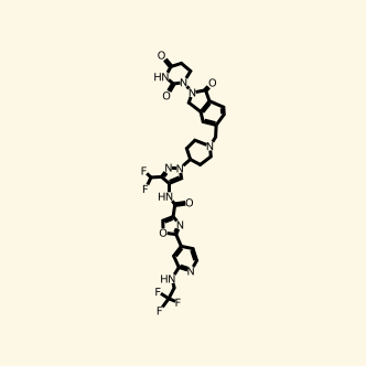 O=C1CCN(N2Cc3cc(CN4CCC(n5cc(NC(=O)c6coc(-c7ccnc(NCC(F)(F)F)c7)n6)c(C(F)F)n5)CC4)ccc3C2=O)C(=O)N1